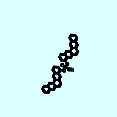 O=P(O)(Oc1cccc2cc3c(ccc4cc5ccccc5cc43)cc12)Oc1cccc2cc3c(ccc4cc5ccccc5cc43)cc12